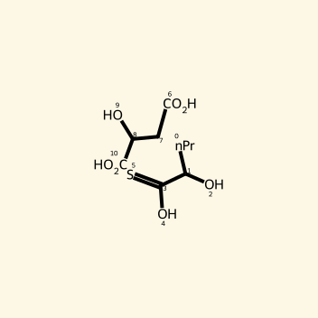 CCCC(O)C(O)=S.O=C(O)CC(O)C(=O)O